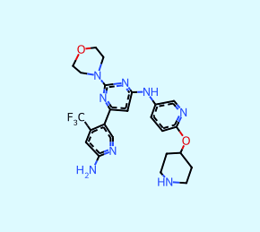 Nc1cc(C(F)(F)F)c(-c2cc(Nc3ccc(OC4CCNCC4)nc3)nc(N3CCOCC3)n2)cn1